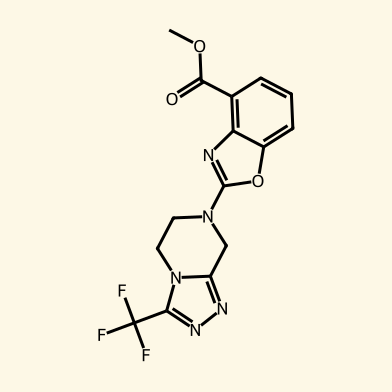 COC(=O)c1cccc2oc(N3CCn4c(nnc4C(F)(F)F)C3)nc12